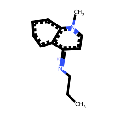 CCC/N=c1\ccn(C)c2ccccc12